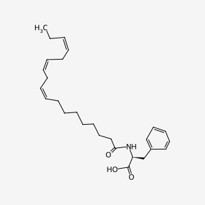 CC/C=C\C/C=C\C/C=C\CCCCCCCC(=O)N[C@@H](Cc1ccccc1)C(=O)O